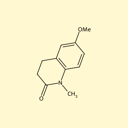 COc1ccc2c(c1)CCC(=O)N2C